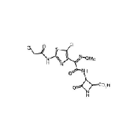 CON=C(C(=O)NC1C(=O)NC1C(=O)O)c1nc(NC(=O)CCl)sc1Cl